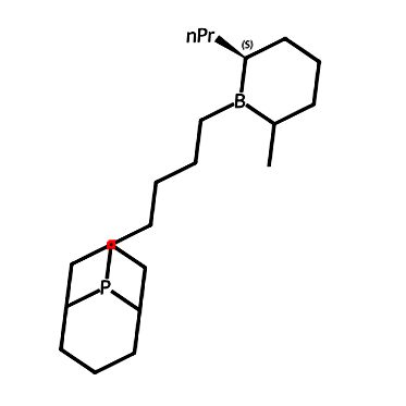 CCC[C@H]1CCCC(C)B1CCCCCP1C2CCCC1CCC2